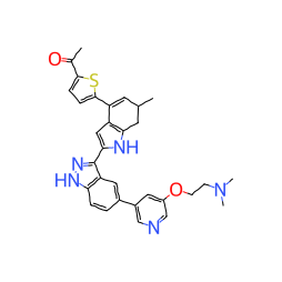 CC(=O)c1ccc(C2=CC(C)Cc3[nH]c(-c4n[nH]c5ccc(-c6cncc(OCCN(C)C)c6)cc45)cc32)s1